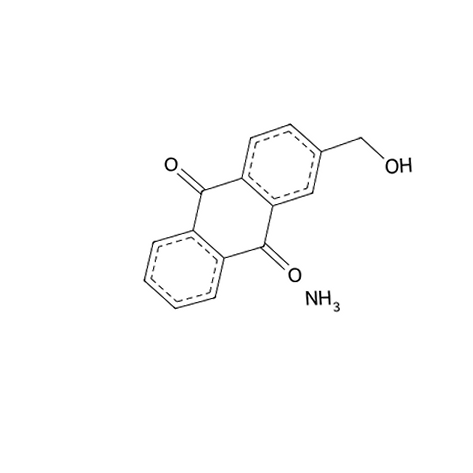 N.O=C1c2ccccc2C(=O)c2cc(CO)ccc21